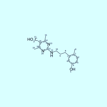 Cc1ccc(O)cc1CCCNc1nc(C)c(C(=O)O)c(C)n1